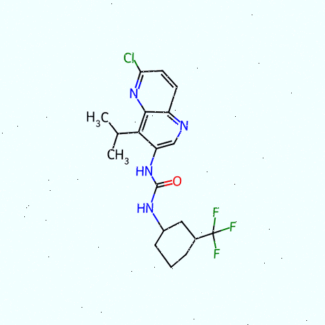 CC(C)c1c(NC(=O)NC2CCCC(C(F)(F)F)C2)cnc2ccc(Cl)nc12